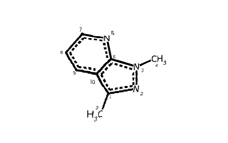 Cc1nn(C)c2ncccc12